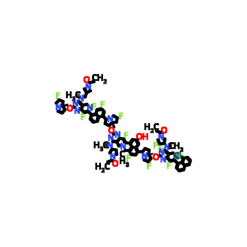 C=CC(=O)N1CC(CN(C)c2nc(OC[C@@]34CCCN3C[C@H](F)C4)nc3c(F)c(-c4cccc5c(C6CC[C@@]7(COc8nc(N(C)[C@@H]9CCN(C(=O)C=C)C9)c9cnc(-c%10cc(O)cc%11c(C%12CC[C@@]%13(COc%14nc(N(C)[C@H]%15CN(C(=O)C=C)CC%15(F)F)c%15cnc(-c%16cccc%17cccc(Cl)c%16%17)c(F)c%15n%14)C[C@@H](F)CN%12%13)cc(F)c(CC)c%10%11)c(F)c9n8)C[C@@H](F)CN67)cc(F)c(F)c45)ncc23)C1